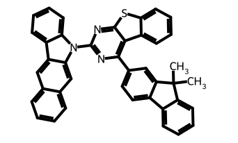 CC1(C)c2ccccc2-c2ccc(-c3nc(-n4c5ccccc5c5cc6ccccc6cc54)nc4sc5ccccc5c34)cc21